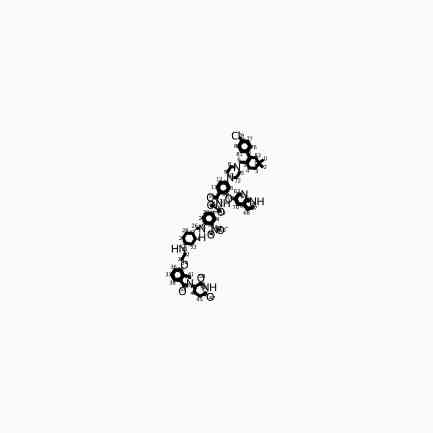 CC1(C)CCC(CN2CCN(c3ccc(C(=O)NS(=O)(=O)c4ccc(NC[C@H]5CC[C@@H](NCCOc6cccc7c6CN(C6CCC(=O)NC6=O)C7=O)CC5)c([N+](=O)[O-])c4)c(Oc4cnc5[nH]ccc5c4)c3)CC2)=C(c2ccc(Cl)cc2)C1